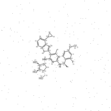 Cc1nc(N[C@H](C)c2ccc(OC(F)(F)F)cc2F)nc(N[C@@H]2C[C@H](CO)[C@@H](O)[C@H]2O)c1-c1nc2c(C3CC3)nccc2s1